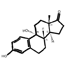 C[C@]12CC[C@]3(O)c4ccc(O)cc4CC[C@H]3[C@@H]1CCC2=O